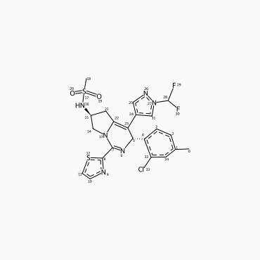 Cc1ccc([C@@H]2N=C(c3nccs3)N3C[C@@H](NS(C)(=O)=O)CC3=C2c2cnn(C(F)F)c2)c(Cl)c1